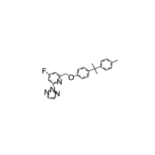 Cc1ccc(C(C)(C)c2ccc(OCc3cc(F)cc(-n4nccn4)n3)cc2)cc1